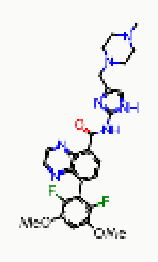 COc1cc(OC)c(F)c(-c2ccc(C(=O)Nc3nc(CN4CCN(C)CC4)c[nH]3)c3nccnc23)c1F